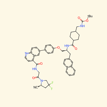 CC(C)(C)OC(=O)NCC1CCC(C(=O)N[C@H](COc2ccc(-c3ccc4nccc(C(=O)NCC(=O)N5CC(F)(F)C[C@H]5C#N)c4c3)cc2)Cc2ccc3ccccc3c2)CC1